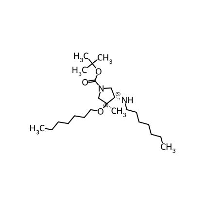 CCCCCCCN[C@H]1CN(C(=O)OC(C)(C)C)C[C@]1(C)OCCCCCCC